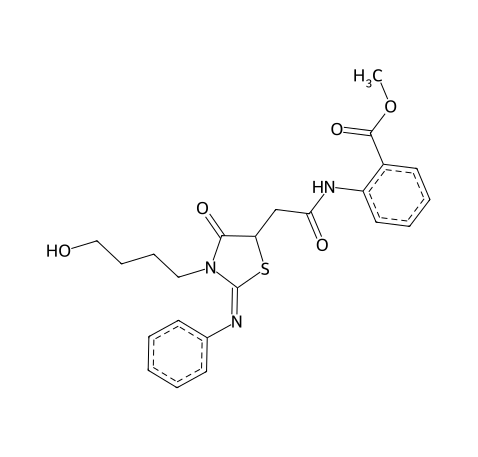 COC(=O)c1ccccc1NC(=O)CC1S/C(=N/c2ccccc2)N(CCCCO)C1=O